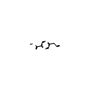 COC(=O)c1cnc(CC=O)cn1